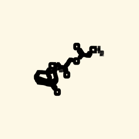 C=CC(=O)OCC(=O)OC1C2CC3CC(CC1(C)C3)C2=O